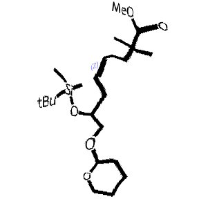 COC(=O)C(C)(C)C/C=C\CC(COC1CCCCO1)O[Si](C)(C)C(C)(C)C